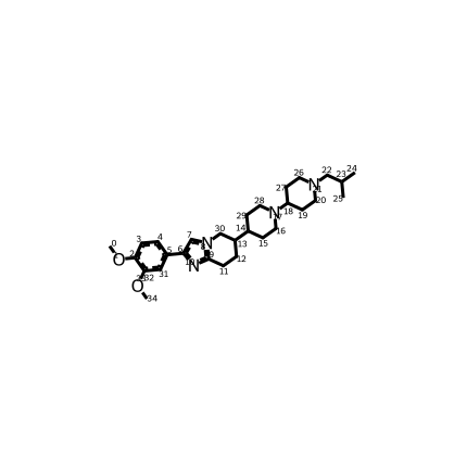 COc1ccc(-c2cn3c(n2)CCC(C2CCN(C4CCN(CC(C)C)CC4)CC2)C3)cc1OC